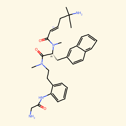 CN(CCc1ccccc1NC(=O)CN)C(=O)[C@@H](Cc1ccc2ccccc2c1)N(C)C(=O)/C=C/CC(C)(C)N